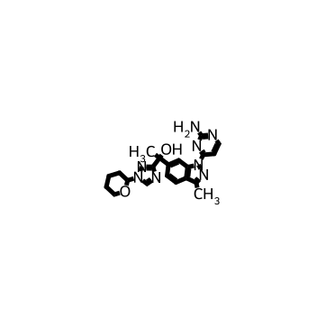 Cc1nn(-c2ccnc(N)n2)c2cc(C(C)(O)c3ncn(C4CCCCO4)n3)ccc12